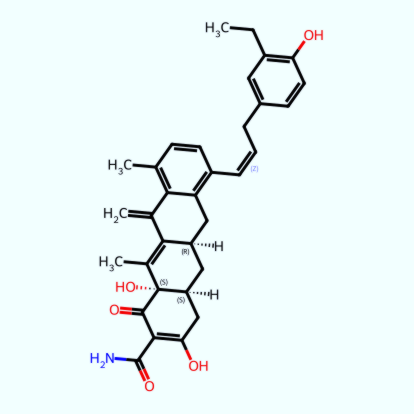 C=C1C2=C(C)[C@]3(O)C(=O)C(C(N)=O)=C(O)C[C@@H]3C[C@@H]2Cc2c(/C=C\Cc3ccc(O)c(CC)c3)ccc(C)c21